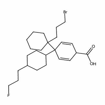 O=C(O)C1C=CC(C2CCC(CCCF)CC2)(C2(CCCBr)CCCCC2)C=C1